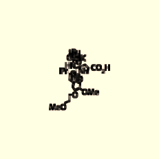 COCCCOc1cc(C[C@@H](C[C@H](NC(=O)OC(C)(C)C)[C@@](C[C@@H](C)C(=O)O)(NC(=O)OC(C)(C)C)O[Si](C)(C)C(C)(C)C)C(C)C)ccc1OC